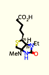 CCN1C(=O)N[C@@]2(NC)CS[C@@H](CCCCC(=O)O)[C@@H]12